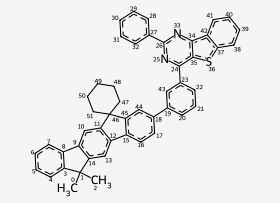 CC1(C)c2ccccc2-c2cc3c(cc21)-c1ccc(-c2cccc(-c4nc(-c5ccccc5)nc5c4sc4ccccc45)c2)cc1C31CCCCC1